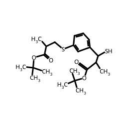 CC(CSc1cccc(C(S)C(C)C(=O)OC(C)(C)C)c1)C(=O)OC(C)(C)C